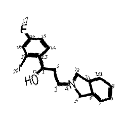 OC(CCN1CC2=CC=CCC2C1)c1ccc(F)cc1I